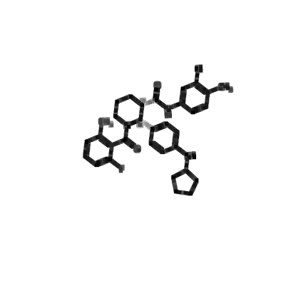 Cc1ccc(NC(=O)[C@H]2CCCN(C(=O)c3c(C)cccc3F)[C@H]2c2ccc(NC3CCCC3)cc2)cc1Cl